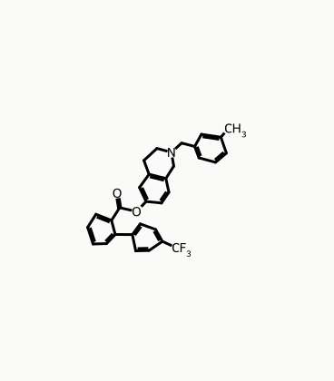 Cc1cccc(CN2CCc3cc(OC(=O)c4ccccc4-c4ccc(C(F)(F)F)cc4)ccc3C2)c1